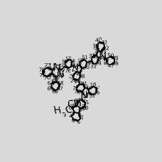 CC1(C)c2ccccc2-c2ccc(-n3c4ccccc4c4cc(-c5ccc6c(c5)c5cc(-c7ccc8c(c7)c7ccccc7n8-c7ccccc7)ccc5n6-c5cccc(-c6nc(-c7ccccc7)c7ccccc7n6)c5)ccc43)cc21